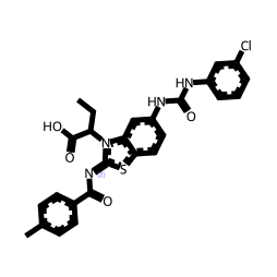 CCC(C(=O)O)n1/c(=N/C(=O)c2ccc(C)cc2)sc2ccc(NC(=O)Nc3cccc(Cl)c3)cc21